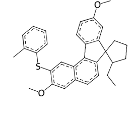 CCC1CCCC12c1cc(OC)ccc1-c1c2ccc2cc(OC)c(Sc3ccccc3C)cc12